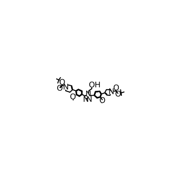 COc1cc(-c2nnc(-c3ccc(C4=CCN(C(=O)OC(C)(C)C)CC4)c(OC)c3)n2CCO)ccc1C1=CCN(C(=O)OC(C)(C)C)CC1